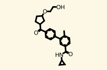 Cc1ccc(C(=O)NC2CC2)cc1-c1ccc(C(=O)C2CCC(OCCO)C2)cc1